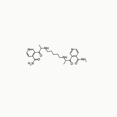 CC(NCCCCCNC(C)C(=O)c1cnccc1C(N)=O)C(=O)c1cnccc1C(N)=O